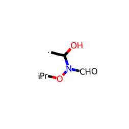 [CH2]C(O)N(C=O)OC(C)C